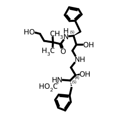 CC(C)(CCO)C(=O)N[C@@H](Cc1ccccc1)C(O)CNC[C@@H](O)[C@H](Cc1ccccc1)NC(=O)O